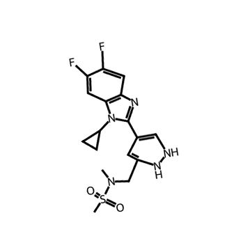 CN(CC1=CC(c2nc3cc(F)c(F)cc3n2C2CC2)=CNN1)S(C)(=O)=O